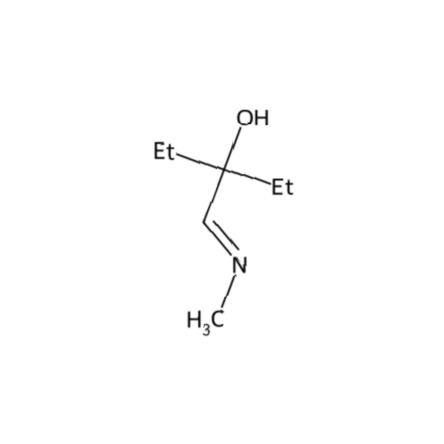 CCC(O)(C=NC)CC